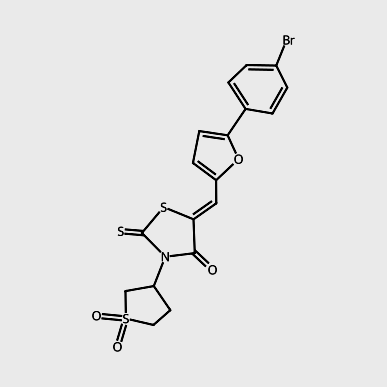 O=C1C(=Cc2ccc(-c3ccc(Br)cc3)o2)SC(=S)N1C1CCS(=O)(=O)C1